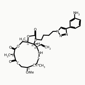 C=C[C@H]1NC[C@H](C)C[C@@H](OC)CCC(=O)[C@@H](C)C(=O)OC[C@@]2(C)OC(=O)N(CCCCn3cc(-c4cccc(N)c4)nn3)[C@H]12